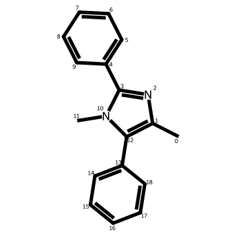 Cc1nc(-c2ccccc2)n(C)c1-c1ccccc1